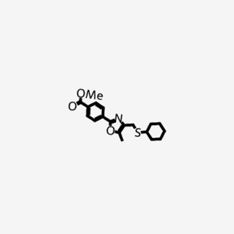 COC(=O)c1ccc(-c2nc(CSC3CCCCC3)c(C)o2)cc1